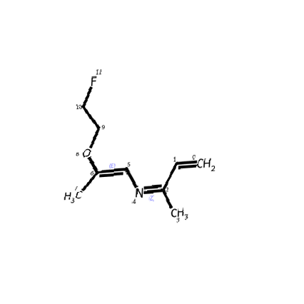 C=C/C(C)=N\C=C(/C)OCCF